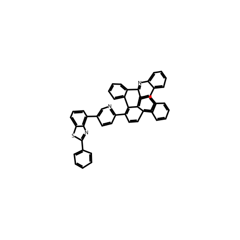 c1ccc(-c2nc3c(-c4ccc(-c5ccc6ccccc6c5-c5ccccc5-c5cc(-c6ccccc6)c6ccccc6n5)nc4)cccc3s2)cc1